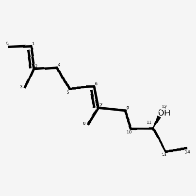 C/C=C(\C)CC/C=C(\C)CC[C@@H](O)CC